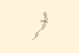 C[CH]CCCN1CCN(CCCCCOc2ccc(-c3nc4ccc(N5CCOCC5)cc4[nH]3)cc2)CC1